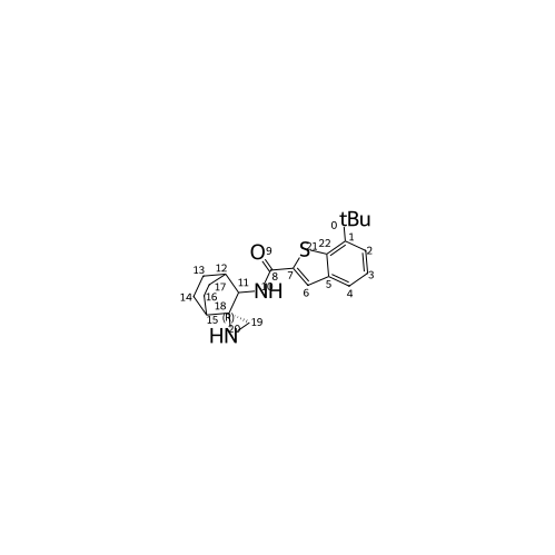 CC(C)(C)c1cccc2cc(C(=O)NC3C4CCC(CC4)[C@@]34CN4)sc12